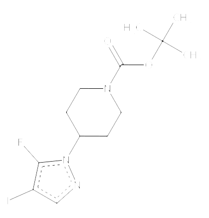 CC(C)(C)OC(=O)N1CCC(n2ncc(I)c2F)CC1